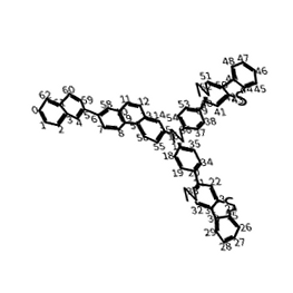 c1ccc2cc(-c3ccc4c(ccc5cc(N(c6ccc(-c7cc8sc9ccccc9c8cn7)cc6)c6ccc(-c7cc8sc9ccccc9c8cn7)cc6)ccc54)c3)ccc2c1